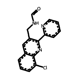 O=CNCc1cc2cccc(Cl)c2nc1-c1ccccn1